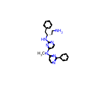 CN(c1ccnc(N[C@@H](CCN)Cc2ccccc2)n1)c1ccnc(-c2ccccc2)n1